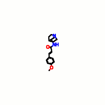 COc1ccc(C=CC(=O)NC2CN3CCC2CC3)cc1